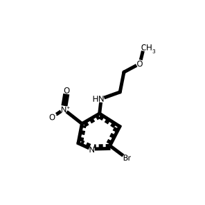 COCCNc1cc(Br)ncc1[N+](=O)[O-]